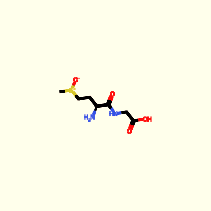 C[S+]([O-])CC[C@H](N)C(=O)NCC(=O)O